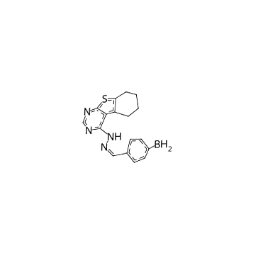 Bc1ccc(/C=N\Nc2ncnc3sc4c(c23)CCCC4)cc1